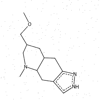 COCC1CC2Cc3n[nH]cc3CC2N(C)C1